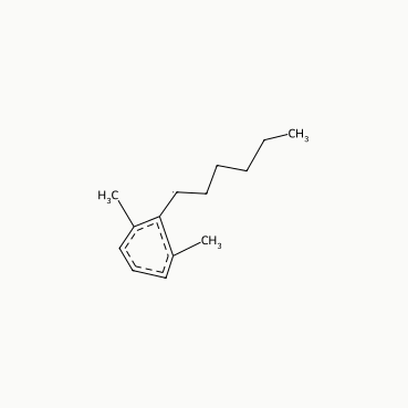 CCCCC[CH]c1c(C)cccc1C